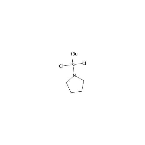 CC(C)(C)[Si](Cl)(Cl)N1CCCC1